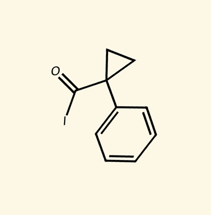 O=C(I)C1(c2ccccc2)CC1